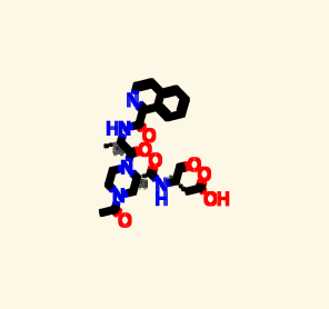 CC(=O)N1CCN(C(=O)[C@H](C)NC(=O)c2nccc3ccccc23)[C@H](C(=O)N[C@H](C=O)CC(=O)O)C1